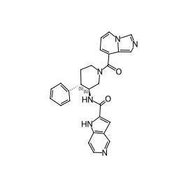 O=C(N[C@@H]1CN(C(=O)c2cccn3cncc23)CC[C@H]1c1ccccc1)c1cc2cnccc2[nH]1